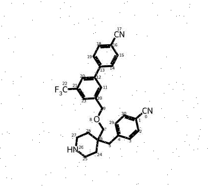 N#Cc1ccc(CC2(COCc3cc(-c4ccc(C#N)cc4)cc(C(F)(F)F)c3)CCNCC2)cc1